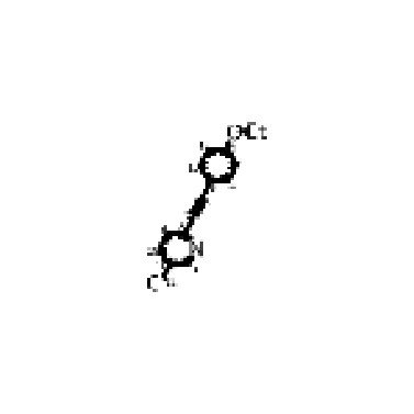 CCOc1ccc(C#Cc2ccc(Cl)cn2)cc1